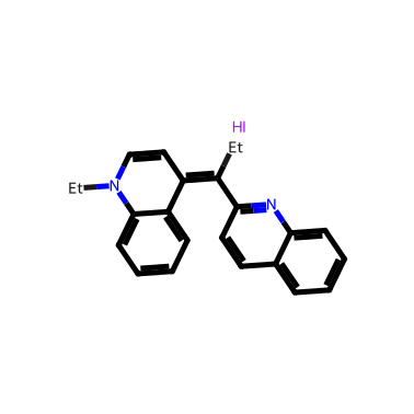 CCC(=C1C=CN(CC)c2ccccc21)c1ccc2ccccc2n1.I